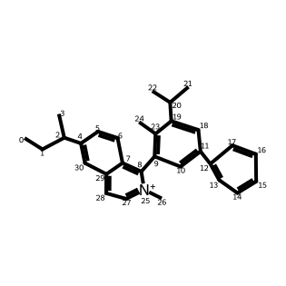 CCC(C)c1ccc2c(-c3cc(-c4ccccc4)cc(C(C)C)c3C)[n+](C)ccc2c1